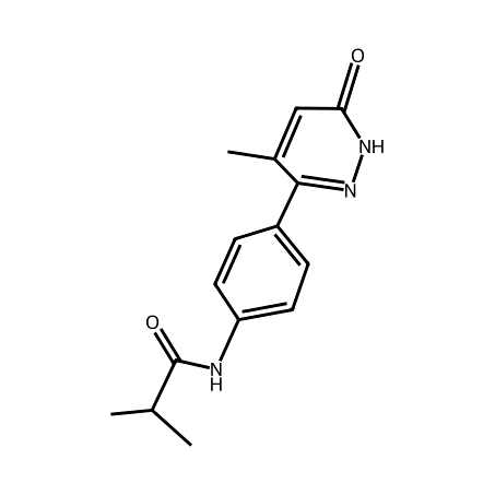 Cc1cc(=O)[nH]nc1-c1ccc(NC(=O)C(C)C)cc1